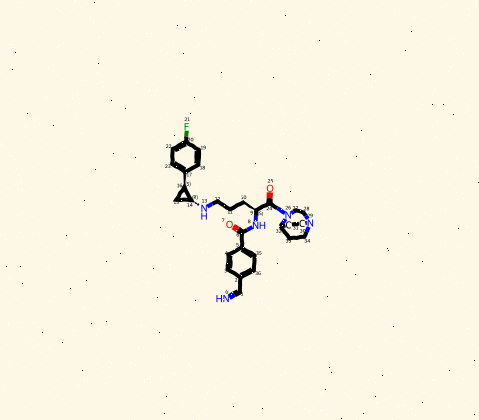 N=Cc1ccc(C(=O)N[C@@H](CCCN[C@@H]2C[C@H]2c2ccc(F)cc2)C(=O)N2CCN3CCC2CC3)cc1